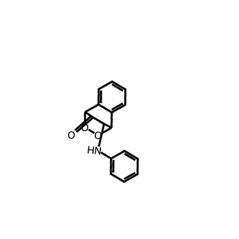 O=C1C2OOC(c3ccccc32)C1Nc1ccccc1